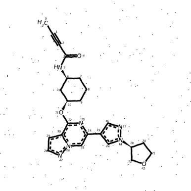 CC#CC(=O)N[C@H]1CCC[C@@H](Oc2nc(-c3cnn([C@H]4CCOC4)c3)cn3nccc23)C1